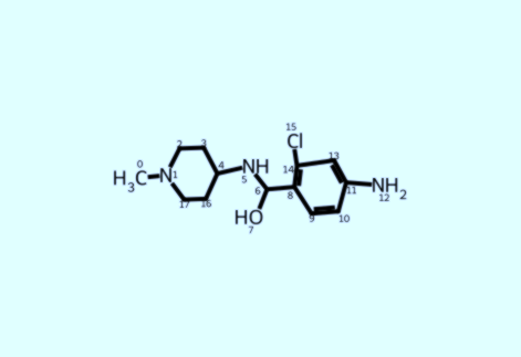 CN1CCC(NC(O)c2ccc(N)cc2Cl)CC1